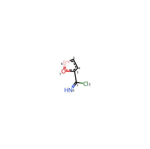 N=C(Cl)c1ccbo1